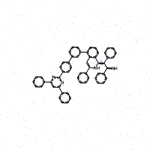 N=C(/C(=C1\NC(c2ccccc2)=Cc2c1cccc2-c1cccc(-c2ccc(-c3nc(-c4ccccc4)cc(-c4ccccc4)n3)cc2)c1)c1ccccc1)c1ccccc1